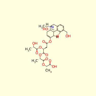 C[C@H](O)C(=O)O[C@@H](CC(=O)OC1=CC[C@@]2(O)[C@H]3Cc4ccc(CO)c5c4[C@@]2(CCN3C)[C@H]1O5)C(=O)O[C@@H](C)C(=O)O[C@@H](C)C(=O)O